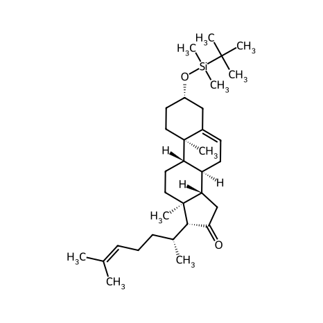 CC(C)=CCC[C@@H](C)[C@H]1C(=O)C[C@H]2[C@@H]3CC=C4C[C@@H](O[Si](C)(C)C(C)(C)C)CC[C@]4(C)[C@H]3CC[C@]12C